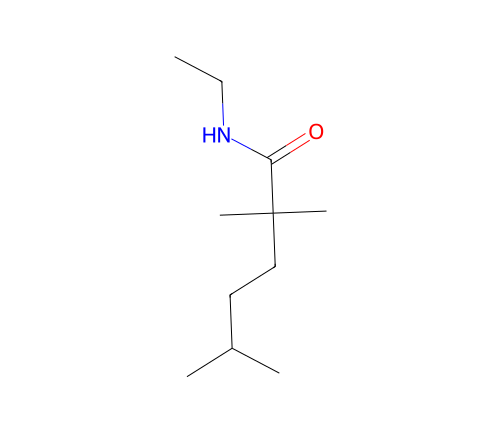 CCNC(=O)C(C)(C)CCC(C)C